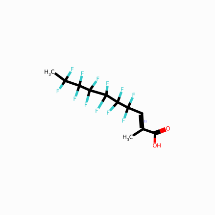 C/C(=C\C(F)(F)C(F)(F)C(F)(F)C(F)(F)C(F)(F)C(C)(F)F)C(=O)O